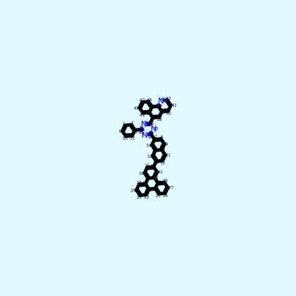 c1ccc(-c2nc(-c3ccc4ccc(-c5ccc6c7ccccc7c7ccccc7c6c5)cc4c3)nc(-c3cc4cccnc4c4ccccc34)n2)cc1